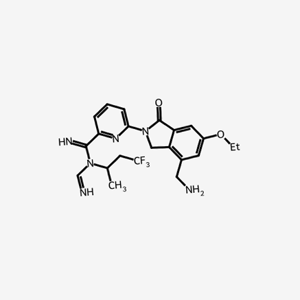 CCOc1cc(CN)c2c(c1)C(=O)N(c1cccc(C(=N)N(C=N)C(C)CC(F)(F)F)n1)C2